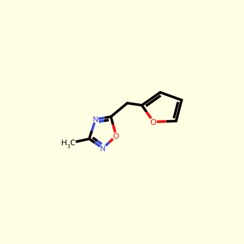 Cc1noc(Cc2ccco2)n1